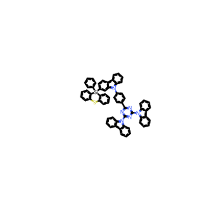 c1ccc([Si]2(c3ccc4c5ccccc5n(-c5ccc(-c6nc(-n7c8ccccc8c8ccccc87)nc(-n7c8ccccc8c8ccccc87)n6)cc5)c4c3)c3ccccc3Sc3ccccc32)cc1